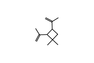 C=C(C)C1CC(C)(C)C1C(=C)C